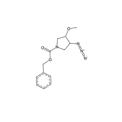 COC1CN(C(=O)OCc2ccccc2)CC1N=[N+]=[N-]